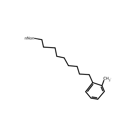 [CH2]c1ccccc1CCCCCCCCCCCCCCCCCC